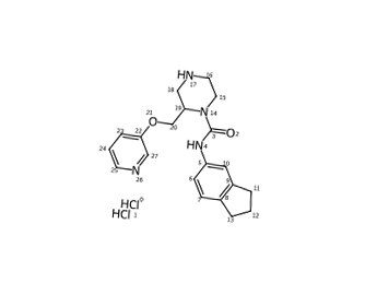 Cl.Cl.O=C(Nc1ccc2c(c1)CCC2)N1CCNCC1COc1cccnc1